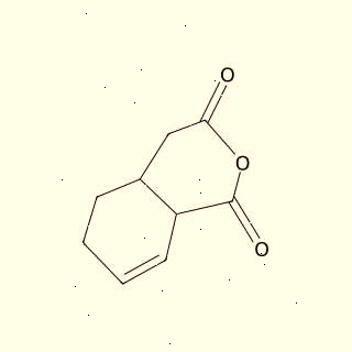 O=C1CC2CCC=CC2C(=O)O1